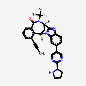 [2H]C([2H])([2H])N1C(=O)c2cccc(C#CC)c2[C@H]2C[C@@H]1c1nc3ccc(-c4cnc(C5CCCN5)nc4)cc3n12